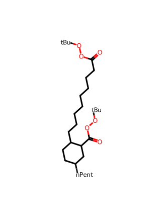 CCCCCC1CCC(CCCCCCCCC(=O)OOC(C)(C)C)C(C(=O)OOC(C)(C)C)C1